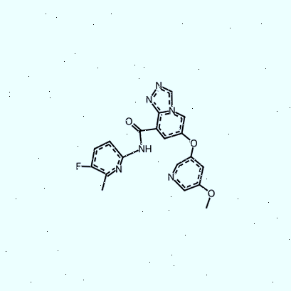 COc1cncc(Oc2cc(C(=O)Nc3ccc(F)c(C)n3)c3nncn3c2)c1